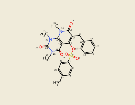 Cc1ccc(S(=O)(=O)Oc2c(Cc3ccccc3)c(=O)n(C)c3c2c(=O)n(C)c(=O)n3C)cc1